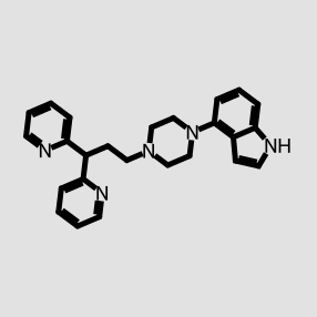 c1ccc(C(CCN2CCN(c3cccc4[nH]ccc34)CC2)c2ccccn2)nc1